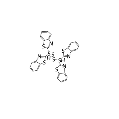 c1ccc2sc([SH](SS[SH](c3nc4ccccc4s3)c3nc4ccccc4s3)c3nc4ccccc4s3)nc2c1